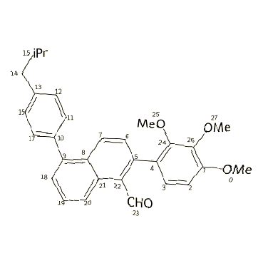 COc1ccc(-c2ccc3c(-c4ccc(CC(C)C)cc4)cccc3c2C=O)c(OC)c1OC